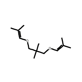 CC(C)=COCC(C)(C)COC=C(C)C